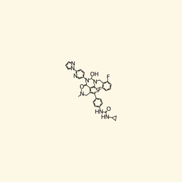 CN(C)Cc1c(-c2ccc(NC(=O)NC3CC3)cc2)sc2c1C(=O)N(c1ccc(-n3cccn3)nc1)C(O)N2Cc1c(F)cccc1F